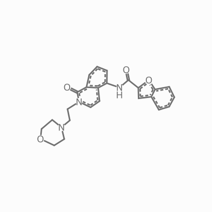 O=C(Nc1cccc2c(=O)n(CCN3CCOCC3)ccc12)c1cc2ccccc2o1